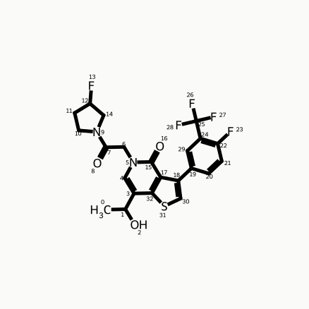 CC(O)c1cn(CC(=O)N2CCC(F)C2)c(=O)c2c(-c3ccc(F)c(C(F)(F)F)c3)csc12